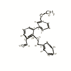 COc1ccnc(-c2cccc(C=O)c2OCc2ccccc2)c1